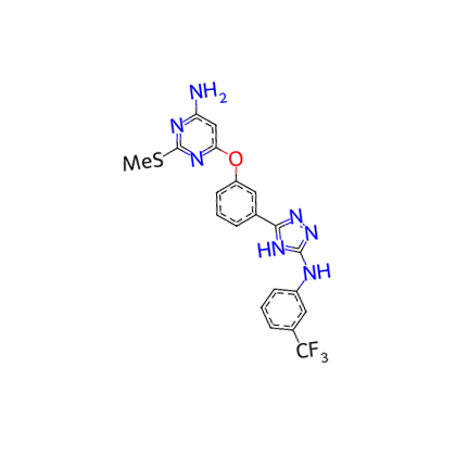 CSc1nc(N)cc(Oc2cccc(-c3nnc(Nc4cccc(C(F)(F)F)c4)[nH]3)c2)n1